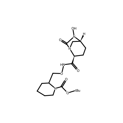 CC(C)(C)OC(=O)N1CCCCC1CONC(=O)[C@@H]1CC[C@@H]2CN1C(=O)N2O